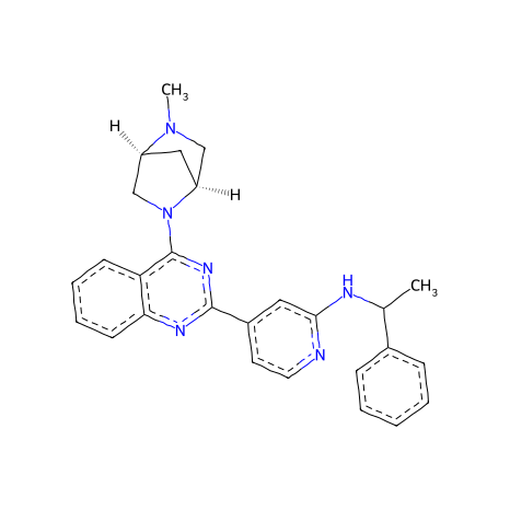 CC(Nc1cc(-c2nc(N3C[C@@H]4C[C@H]3CN4C)c3ccccc3n2)ccn1)c1ccccc1